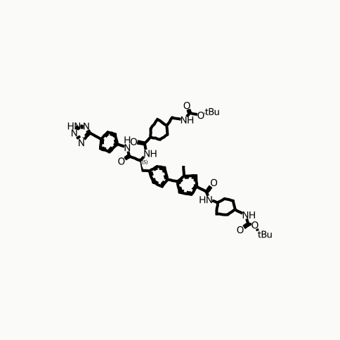 Cc1cc(C(=O)NC2CCC(NC(=O)OC(C)(C)C)CC2)ccc1-c1ccc(C[C@H](NC(=O)C2CCC(CNC(=O)OC(C)(C)C)CC2)C(=O)Nc2ccc(-c3nn[nH]n3)cc2)cc1